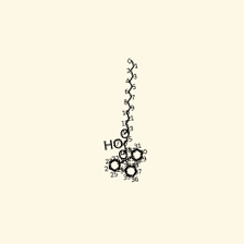 CCCCCCCCCCCCCCOCC(O)COC(c1ccccc1)(c1ccccc1)c1ccccc1